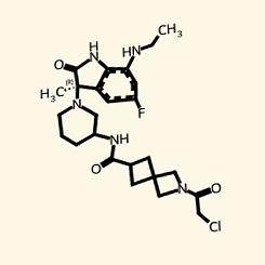 CCNc1cc(F)cc2c1NC(=O)[C@]2(C)N1CCCC(NC(=O)C2CC3(C2)CN(C(=O)CCl)C3)C1